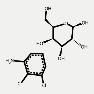 Nc1cccc(Cl)c1Cl.OC[C@H]1O[C@@H](O)[C@H](O)[C@@H](O)[C@H]1O